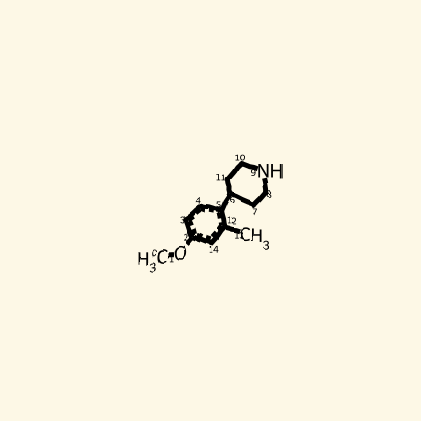 COc1ccc(C2CCNCC2)c(C)c1